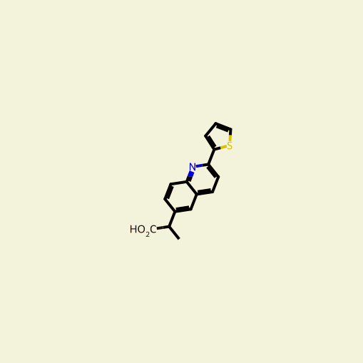 CC(C(=O)O)c1ccc2nc(-c3cccs3)ccc2c1